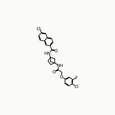 O=C(COc1ccc(Cl)c(F)c1)NC12CCC(NC(=O)c3ccc4cc(Cl)ccc4c3)(C1)C2